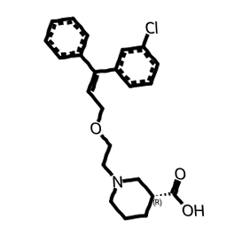 O=C(O)[C@@H]1CCCN(CCOCC=C(c2ccccc2)c2cccc(Cl)c2)C1